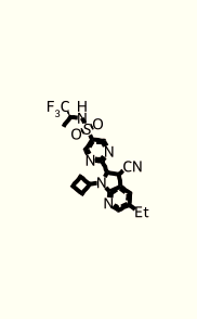 CCc1cnc2c(c1)C(C#N)C(c1ncc(S(=O)(=O)N[C@H](C)C(F)(F)F)cn1)N2C1CCC1